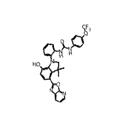 CC1(C)CN(c2ccccc2NC(=O)Nc2ccc(OC(F)(F)F)cc2)c2c(O)ccc(-c3nc4cccnc4o3)c21